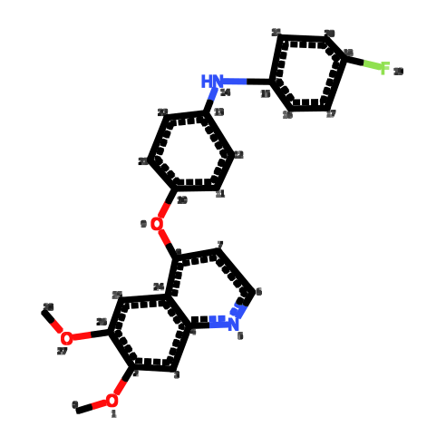 COc1cc2nccc(Oc3ccc(Nc4ccc(F)cc4)cc3)c2cc1OC